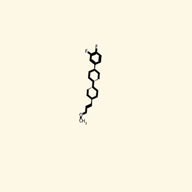 COCC=C[C@H]1CC[C@H]([C@H]2CC[C@H](c3ccc(F)c(F)c3)CC2)CC1